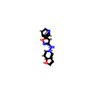 C1=CC2=CN(NC3=NOC4(C3)CN3CCC4CC3)C=CC2O1